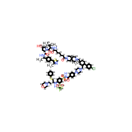 Cc1ncsc1-c1ccc([C@H](C)NC(=O)[C@@H]2C[C@@H](O)CN2C(=O)[C@@H](NC(=O)CCCCCC(=O)N2CCC3(CCN(CC4(C)CCC(c5ccc(Cl)cc5)=C(CN5CCN(c6ccc(C(=O)NS(=O)(=O)c7ccc(N[C@H](CCN8CCOCC8)CSc8ccccc8)c(S(=O)(=O)C(F)(F)F)c7)cc6)CC5)C4)CC3)CC2)C(C)(C)C)cc1